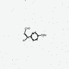 COc1ccc(/C(=C\C=O)C(C)C)cc1